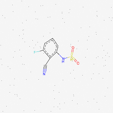 N#Cc1c(F)cccc1N[SH](=O)=O